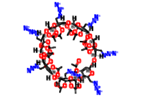 CC(=O)OC1=C[C@@H]2OC(CN=[N+]=[N-])[C@H]1O[C@H]1OC(CN=[N+]=[N-])[C@@H](O[C@H]3CC(CN=[N+]=[N-])[C@@H](O[C@H]4OC(CN=[N+]=[N-])[C@@H](O[C@@H]5OC(CN=[N+]=[N-])[C@@H](O[C@@H]6OC(CN=[N+]=[N-])[C@@H](O[C@@H]7OC(CN=[N+]=[N-])[C@@H](O2)C(OC(C)=O)C7OC(C)=O)C(OC(C)=O)C6OC(C)=O)C(OC(C)=O)C5OC(C)=O)C(OC(C)=O)C4OC(C)=O)C(OC(C)=O)C3OC(C)=O)C(OC(C)=O)C1OC(C)=O